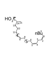 CCCC/C=C\C/C=C\CSCC=C=CCCC(C)C(=O)O